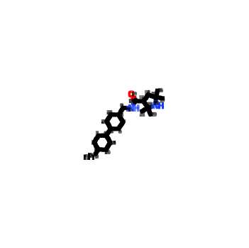 CCCC1CCC(C2CCC(CNC(=O)C3CC(C)(C)NC3(C)C)CC2)CC1